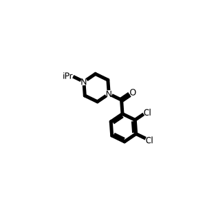 CC(C)N1CCN(C(=O)c2cccc(Cl)c2Cl)CC1